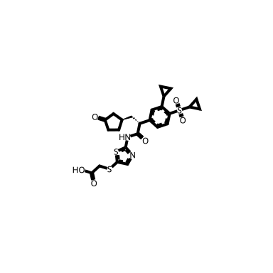 O=C(O)CSc1cnc(NC(=O)[C@H](C[C@H]2CCC(=O)C2)c2ccc(S(=O)(=O)C3CC3)c(C3CC3)c2)s1